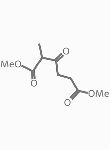 COC(=O)CCC(=O)C(C)C(=O)OC